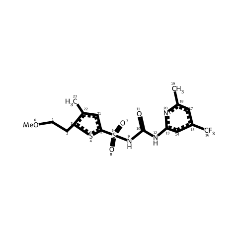 COCCc1sc(S(=O)(=O)NC(=O)Nc2cc(C(F)(F)F)cc(C)n2)cc1C